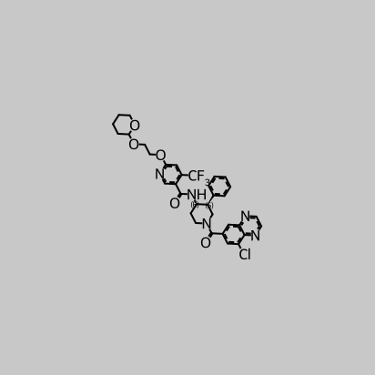 O=C(N[C@@H]1CCN(C(=O)c2cc(Cl)c3nccnc3c2)C[C@@H]1c1ccccc1)c1cnc(OCCOC2CCCCO2)cc1C(F)(F)F